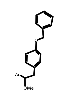 COC(Cc1ccc(OCc2ccccc2)cc1)C(C)=O